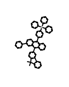 CC1(C)c2ccccc2-c2cc(-c3c4ccccc4c(-c4ccc([Si](c5ccccc5)(c5ccccc5)c5ccccc5)cc4)c4ccc(-c5ccccc5)cc34)ccc21